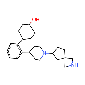 OC1CCC(c2ccccc2C2CCN(C3CCC4(CNC4)C3)CC2)CC1